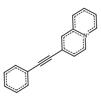 C(#Cc1cc[n+]2ccccc2c1)c1ccccc1